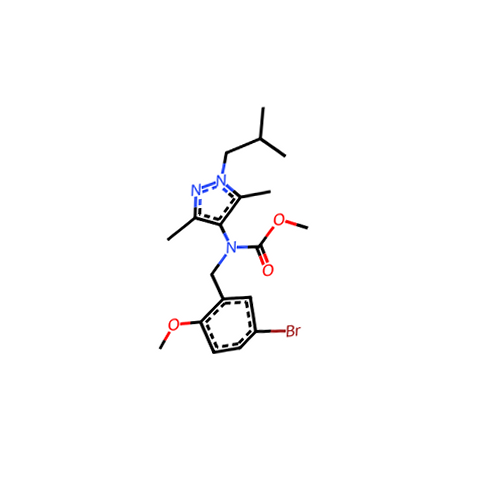 COC(=O)N(Cc1cc(Br)ccc1OC)c1c(C)nn(CC(C)C)c1C